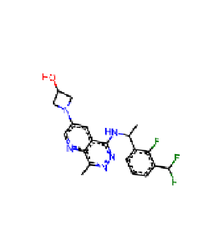 Cc1nnc(NC(C)c2cccc(C(F)F)c2F)c2cc(N3CC(O)C3)cnc12